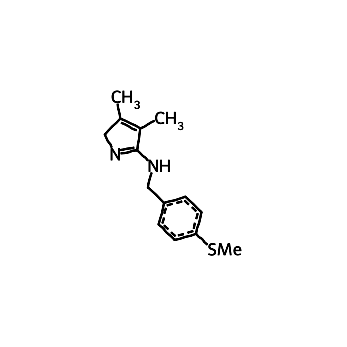 CSc1ccc(CNC2=NCC(C)=C2C)cc1